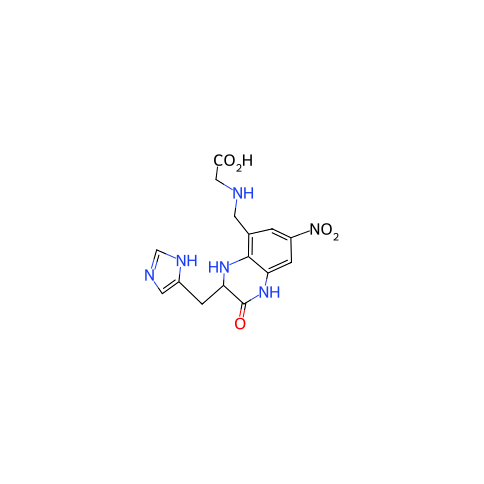 O=C(O)CNCc1cc([N+](=O)[O-])cc2c1NC(Cc1cnc[nH]1)C(=O)N2